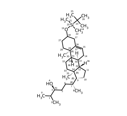 CC(C)[C@@H](O)CC[C@@H](C)[C@H]1CC[C@H]2[C@@H]3CC=C4CC(O[Si](C)(C)C(C)(C)C)CC[C@]4(C)[C@H]3CC[C@]12C